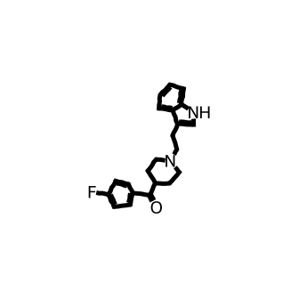 O=C(c1ccc(F)cc1)C1CCN(CCc2c[nH]c3ccccc23)CC1